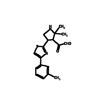 Cc1cccc(-c2csc(C3CNC(C)(C)C3C(=O)C=O)n2)c1